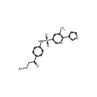 CC(=O)SCC(=O)c1ccc(NS(=O)(=O)c2cnc(-c3ccoc3)c(C(F)(F)F)c2)cc1